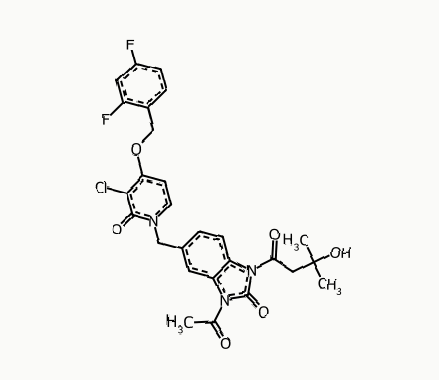 CC(=O)n1c(=O)n(C(=O)CC(C)(C)O)c2ccc(Cn3ccc(OCc4ccc(F)cc4F)c(Cl)c3=O)cc21